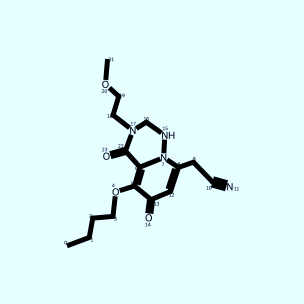 CCCCOc1c2n(c(CC#N)cc1=O)NCN(CCOC)C2=O